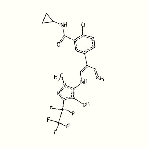 Cn1nc(C(F)(F)C(F)(F)F)c(O)c1N/C=C(\C=N)c1ccc(Cl)c(C(=O)NC2CC2)c1